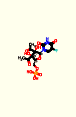 CC(=O)[C@@]1(O)[C@@H](COP(=O)(O)O)O[C@@H](n2cc(F)c(=O)[nH]c2=O)[C@@]1(O)C(C)=O